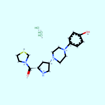 Cl.Cl.Cl.O=C([C@@H]1C[C@H](N2CCN(c3ccc(O)cc3)CC2)CN1)N1CCSC1